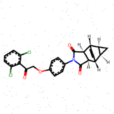 O=C(COc1ccc(N2C(=O)[C@@H]3[C@@H]4C=C[C@@H]([C@H]5C[C@@H]45)[C@@H]3C2=O)cc1)c1c(Cl)cccc1Cl